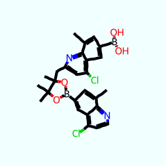 Cc1cc(B2OC(C)(C)C(C)(Cc3cc(Cl)c4cc(B(O)O)cc(C)c4n3)O2)cc2c(Cl)ccnc12